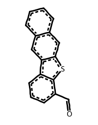 O=Cc1cccc2c1sc1cc3ccccc3cc12